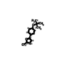 CC(C)(C)Oc1ccc(-c2cnc(Cl)o2)cc1